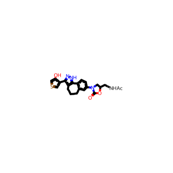 CC(=O)NCC1CN(c2ccc3c(c2)CCCc2c(-c4cscc4O)n[nH]c2-3)C(=O)O1